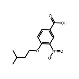 CC(C)CCOc1ccc(C(=O)O)cc1[N+](=O)[O-]